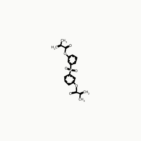 C=C(C)C(=O)Oc1cccc(S(=O)(=O)c2cccc(OC(=O)C(=C)C)c2)c1